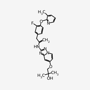 C=C(Cc1ccc(Oc2ncccc2C)c(F)c1)Nc1nc2cc(OCC(C)(C)O)ccn2n1